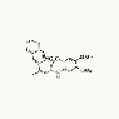 COc1cc(NC(=O)/C=C(/C)c2ccc3ccccc3c2)c(C(=O)O)cc1OC